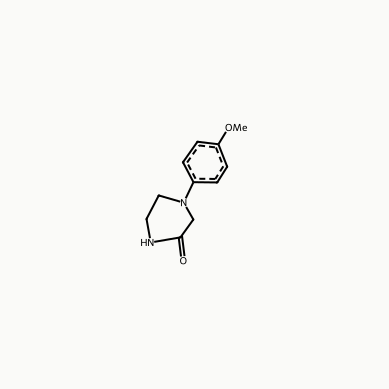 COc1ccc(N2CCNC(=O)C2)cc1